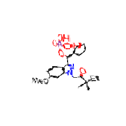 CCC(C)(C)C(=O)Cn1nc(C(OP(=O)(O)O)=C2CCCC2)c2ccc(OC)cc21